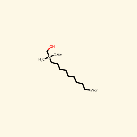 CCCCCCCCCCCCCCCCCC[Si](C)(CO)OC